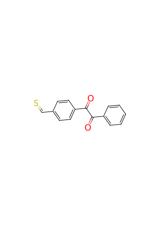 O=C(C(=O)c1ccc(C=S)cc1)c1ccccc1